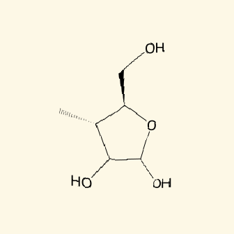 C[C@H]1C(O)C(O)O[C@@H]1CO